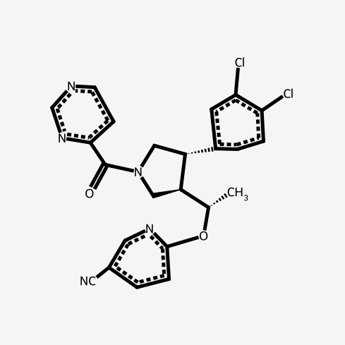 C[C@H](Oc1ccc(C#N)cn1)[C@H]1CN(C(=O)c2ccncn2)C[C@@H]1c1ccc(Cl)c(Cl)c1